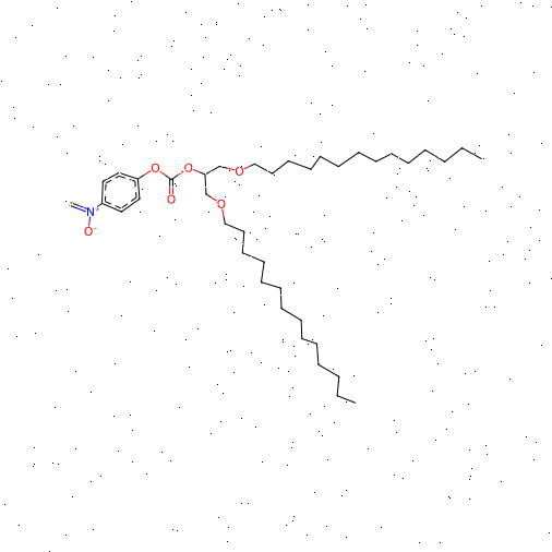 C=[N+]([O-])c1ccc(OC(=O)OC(COCCCCCCCCCCCCCC)COCCCCCCCCCCCCCC)cc1